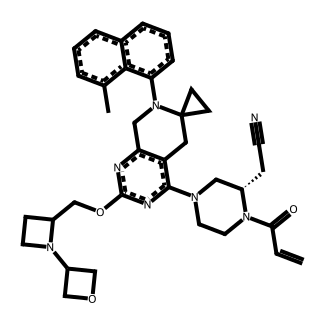 C=CC(=O)N1CCN(c2nc(OCC3CCN3C3COC3)nc3c2CC2(CC2)N(c2cccc4cccc(C)c24)C3)C[C@@H]1CC#N